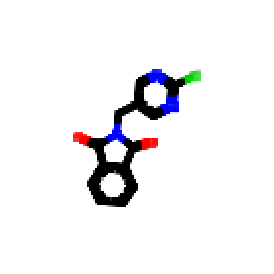 O=C1c2ccccc2C(=O)N1Cc1cnc(Cl)nc1